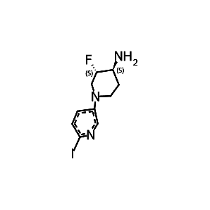 N[C@H]1CCN(c2ccc(I)nc2)C[C@@H]1F